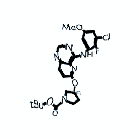 COc1cc(Cl)c(F)c(Nc2ncnc3ccc(O[C@H]4CCN(C(=O)OC(C)(C)C)C4)nc23)c1